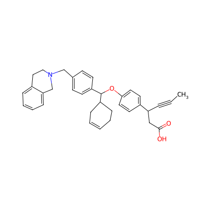 CC#CC(CC(=O)O)c1ccc(OC(c2ccc(CN3CCc4ccccc4C3)cc2)C2CC=CCC2)cc1